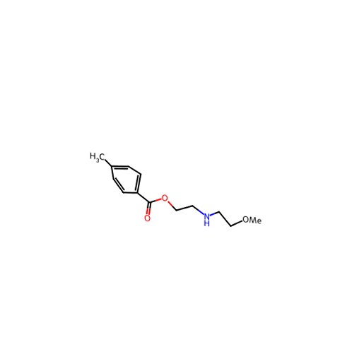 COCCNCCOC(=O)c1ccc(C)cc1